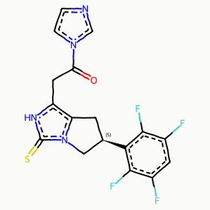 O=C(Cc1[nH]c(=S)n2c1C[C@@H](c1c(F)c(F)cc(F)c1F)C2)n1ccnc1